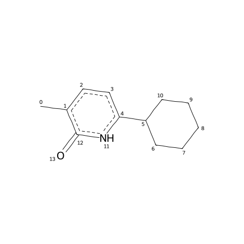 Cc1ccc(C2CCCCC2)[nH]c1=O